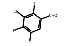 O=[C]c1cc(F)c(F)c(Cl)c1F